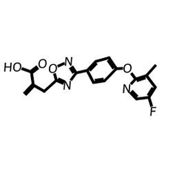 C=C(Cc1nc(-c2ccc(Oc3ncc(F)cc3C)cc2)no1)C(=O)O